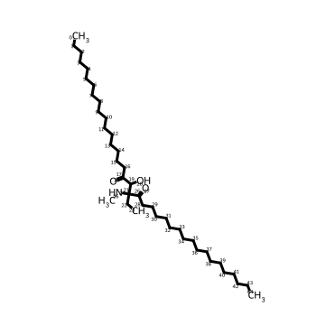 CCCCCCCCCCCCCCCCCC(=O)C(O)C(CC)(NC)C(=O)CCCCCCCCCCCCCCCCC